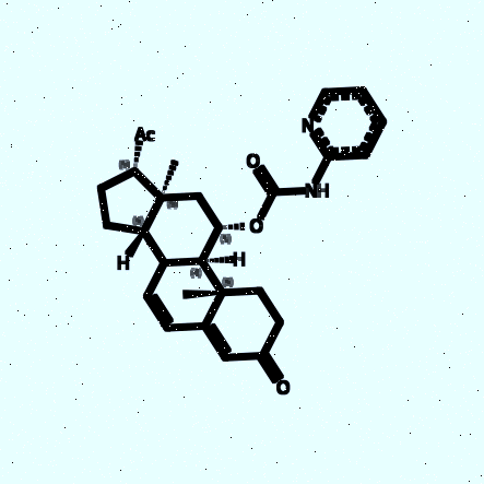 CC(=O)[C@H]1CC[C@H]2C3C=CC4=CC(=O)CC[C@@]4(C)[C@@H]3[C@@H](OC(=O)Nc3ccccn3)C[C@]12C